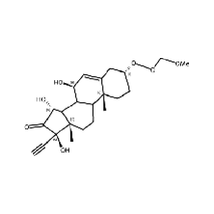 C#C[C@]1(O)C(=O)[C@H](O)C2C3C(CC[C@@]21C)[C@@]1(C)CC[C@@H](OOCOC)CC1=C[C@@H]3O